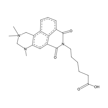 CN1C[N+](C)(C)Cc2c1cc1c3c(cccc23)C(=O)N(CCCCCC(=O)O)C1=O